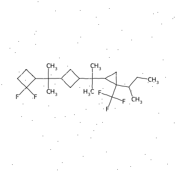 CCC(C)C1(C(F)(F)F)CC1C(C)(C)C1CC(C(C)(C)C2CCC2(F)F)C1